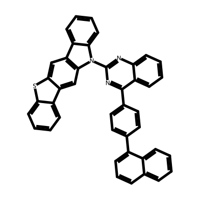 c1ccc2c(-c3ccc(-c4nc(-n5c6ccccc6c6cc7sc8ccccc8c7cc65)nc5ccccc45)cc3)cccc2c1